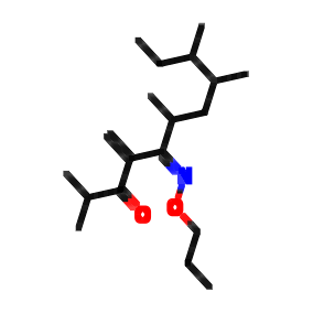 C=C(C(=O)C(C)C)/C(=N\OCCC)C(C)CC(C)C(C)CC